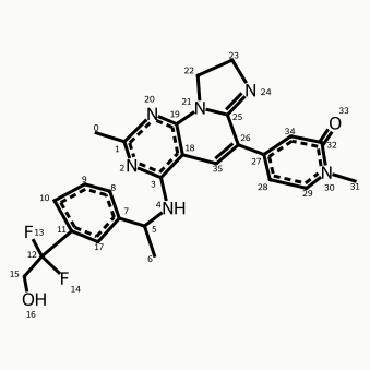 Cc1nc(NC(C)c2cccc(C(F)(F)CO)c2)c2c(n1)N1CCN=C1C(c1ccn(C)c(=O)c1)=C2